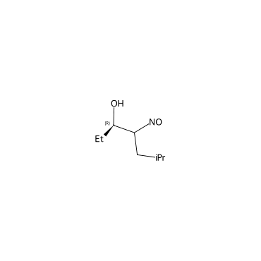 CC[C@@H](O)C(CC(C)C)N=O